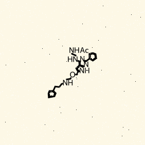 CC(=O)NCCNc1nc(-c2ccccc2)nc2[nH]c(COCCNCCCc3ccccc3)cc12